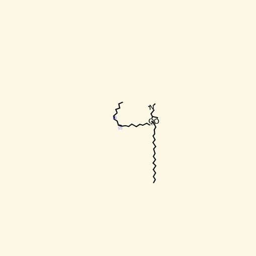 CCCCC/C=C\C/C=C\CCCCCCCC[C@@]1(CCCCCCCCCCCCCCCCCC)OCC(CCN(C)C)O1